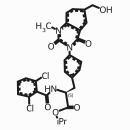 CC(C)OC(=O)[C@H](Cc1ccc(-n2c(=O)c3cc(CO)ccc3n(C)c2=O)cc1)NC(=O)c1c(Cl)cccc1Cl